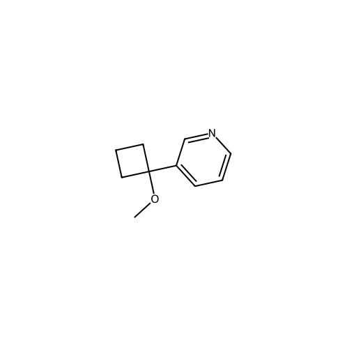 COC1(c2cccnc2)CCC1